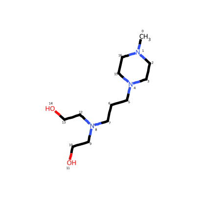 CN1CCN(CCCN(CCO)CCO)CC1